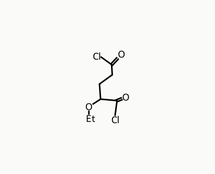 CCOC(CCC(=O)Cl)C(=O)Cl